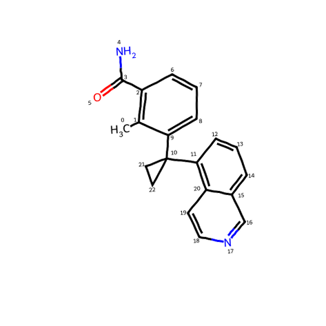 Cc1c(C(N)=O)cccc1C1(c2cccc3cnccc23)CC1